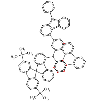 CC(C)(C)c1ccc2c(c1)C1(c3cc(C(C)(C)C)ccc3-2)c2ccccc2-c2c(N(c3cccc(-c4cccc5c4c4ccccc4n5-c4ccccc4)c3)c3ccccc3-c3ccccc3-c3ccccc3C3=CCCC=C3)cccc21